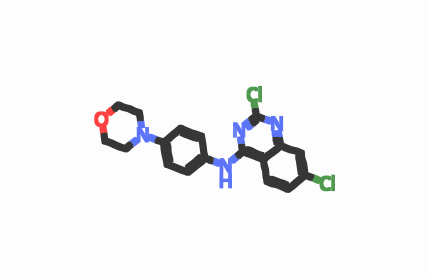 Clc1ccc2c(Nc3ccc(N4CCOCC4)cc3)nc(Cl)nc2c1